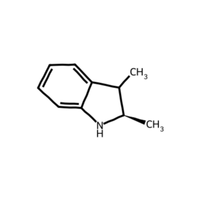 CC1c2ccccc2N[C@@H]1C